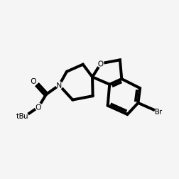 CC(C)(C)OC(=O)N1CCC2(CC1)OCc1cc(Br)ccc12